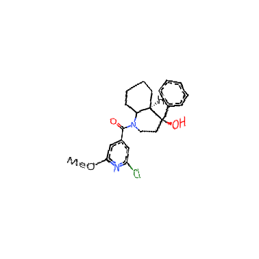 COc1cc(C(=O)N2CC[C@@](O)(c3ccccc3)[C@@H]3CCCCC32)cc(Cl)n1